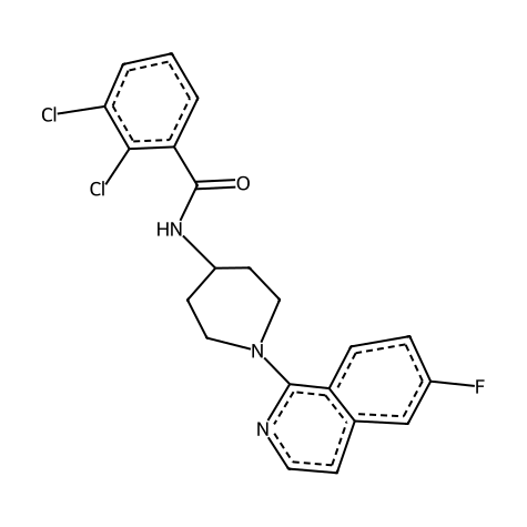 O=C(NC1CCN(c2nccc3cc(F)ccc23)CC1)c1cccc(Cl)c1Cl